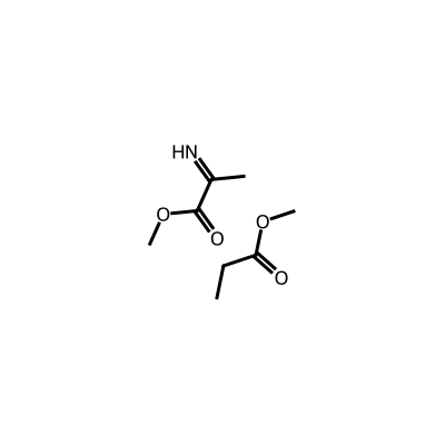 CCC(=O)OC.COC(=O)C(C)=N